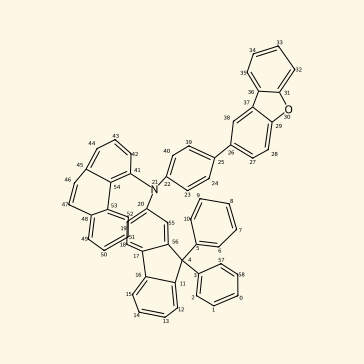 c1ccc(C2(c3ccccc3)c3ccccc3-c3ccc(N(c4ccc(-c5ccc6oc7ccccc7c6c5)cc4)c4cccc5ccc6ccccc6c45)cc32)cc1